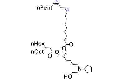 CCCCC/C=C\C/C=C\CCCCCCCC(=O)OCC(CCCCN(CCO)C1CCCC1)COC(=O)CC(CCCCCC)CCCCCCCC